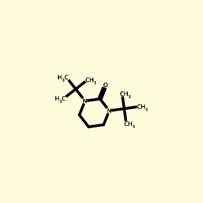 CC(C)(C)N1CCCN(C(C)(C)C)C1=O